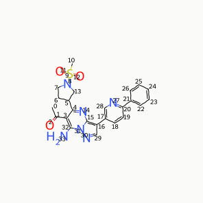 CC(=O)c1c(C2CCN(S(C)(=O)=O)C2)nc2c(-c3ccc(-c4ccccc4)nc3)cnn2c1N